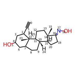 C#CC1CC(O)CC2CC[C@@H]3[C@H](CC[C@]4(C)/C(=N/O)CC[C@@H]34)[C@@]12C